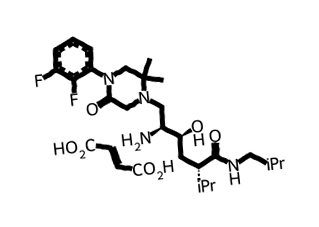 CC(C)CNC(=O)[C@@H](C[C@H](O)[C@@H](N)CN1CC(=O)N(c2cccc(F)c2F)CC1(C)C)C(C)C.O=C(O)/C=C/C(=O)O